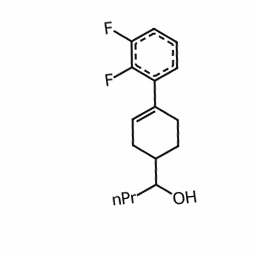 CCCC(O)C1CC=C(c2cccc(F)c2F)CC1